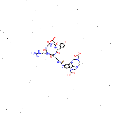 N=C(N)NCCC[C@@H]1NC(=O)[C@H](CCCCNC(=S)Nc2ccc(CC3CN4CCCN(CC(=O)O)CCN(CCCN(CC(=O)O)CC4)C3)cc2)NC(=O)[C@@H](Cc2ccc(O)cc2)NC(=O)[C@H](CC(=O)O)NC(=O)CNC1=O